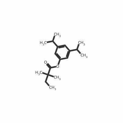 CCC(C)(C)C(=O)Oc1cc(C(C)C)cc(C(C)C)c1